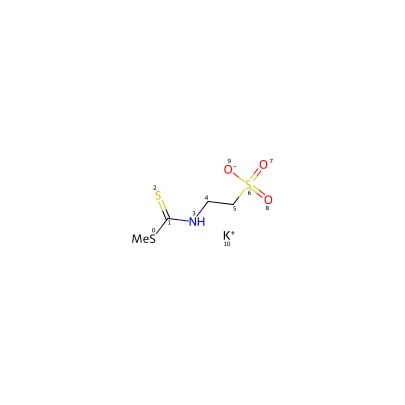 CSC(=S)NCCS(=O)(=O)[O-].[K+]